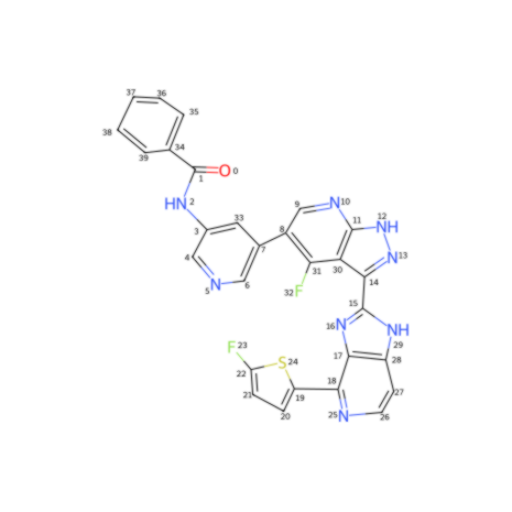 O=C(Nc1cncc(-c2cnc3[nH]nc(-c4nc5c(-c6ccc(F)s6)nccc5[nH]4)c3c2F)c1)c1ccccc1